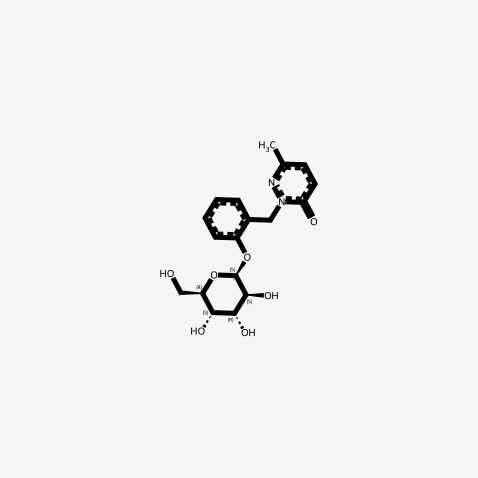 Cc1ccc(=O)n(Cc2ccccc2O[C@@H]2O[C@H](CO)[C@@H](O)[C@@H](O)[C@@H]2O)n1